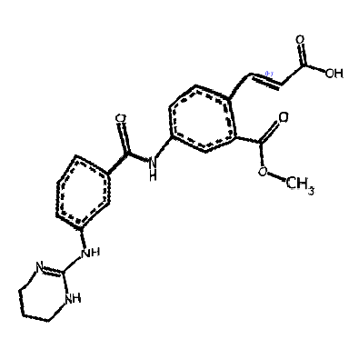 COC(=O)c1cc(NC(=O)c2cccc(NC3=NCCCN3)c2)ccc1/C=C/C(=O)O